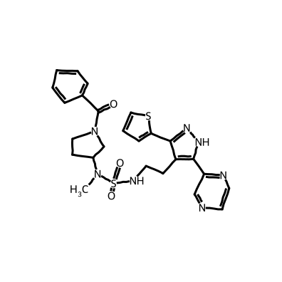 CN(C1CCN(C(=O)c2ccccc2)C1)S(=O)(=O)NCCc1c(-c2cccs2)n[nH]c1-c1cnccn1